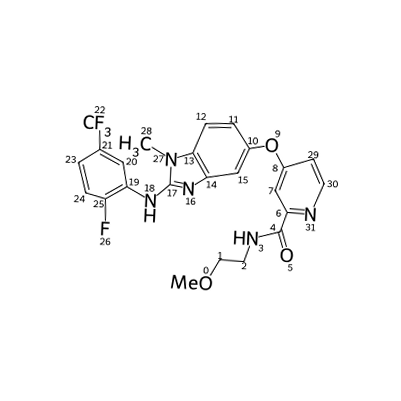 COCCNC(=O)c1cc(Oc2ccc3c(c2)nc(Nc2cc(C(F)(F)F)ccc2F)n3C)ccn1